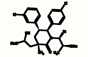 CC[C@@H]([C@H](C)OC)N1C(=O)[C@@](C)(CC(O)OC)C[C@H](c2cccc(Cl)c2)[C@H]1c1ccc(Cl)cc1